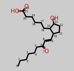 CCCCCCC(=O)C=CC1CCC(O)C1CCCCCC(=O)O